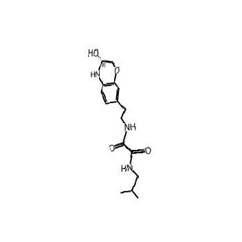 CC(C)CNC(=O)C(=O)NCCc1ccc2c(c1)OC[C@@H](O)N2